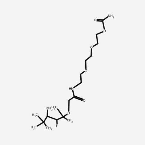 CC(C)(C)C(N)C(F)C(C)(C)OCC(=O)NCCOCCOCCOC(N)=O